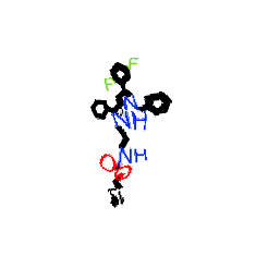 C[Si](C)(C)CCOC(=O)NCCCN[C@@H](c1cc(-c2cc(F)ccc2F)cn1Cc1ccccc1)C1CCCCC1